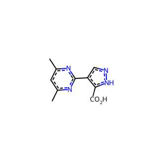 Cc1cc(C)nc(-c2cn[nH]c2C(=O)O)n1